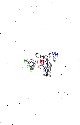 O=C[C@H](C[C@@H]1CCNC1=O)NC(=O)C1[C@H]2CCC[C@H]2CN1C(=O)CCc1cc(F)cc(F)c1